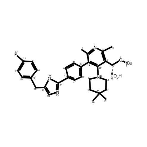 Cc1nc(C)c([C@H](OC(C)(C)C)C(=O)O)c(N2CCC(C)(C)CC2)c1-c1ccc(-c2ncc(Cc3ccc(F)cc3)o2)cc1